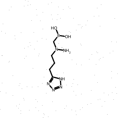 NN(CCCc1nnn[nH]1)CB(O)O